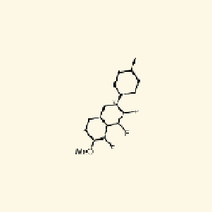 COC1CCC2C[C@@H](C3CCC(C)CC3)C(F)C(F)C2C1F